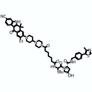 CCc1cc2c(cc1N1CCC(N3CCN(C(=O)CCCCCC(=O)NC(C(=O)N4C[C@H](O)C[C@H]4C(=O)NCc4ccc(-c5scnc5C)cc4)C(C)(C)C)CC3)CC1)C(C)(C)c1[nH]c3cc(C#N)ccc3c1C2=O